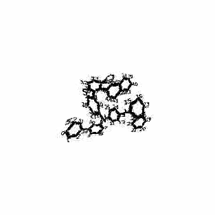 c1ccc(-c2cccc(N(c3ccc(-c4cccc5ccccc45)cc3)c3ccc4sc5ccc6oc7c8ccccc8ccc7c6c5c4c3)c2)cc1